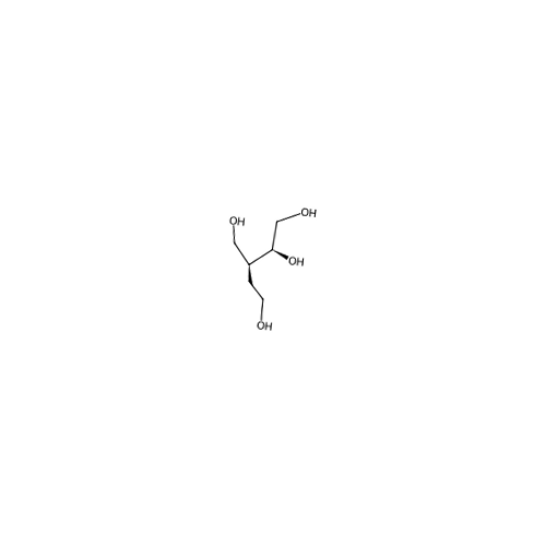 OCC[C@@H](CO)[C@H](O)CO